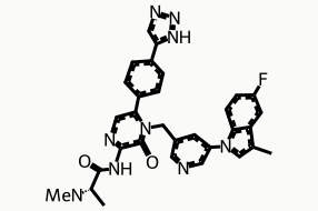 CN[C@@H](C)C(=O)Nc1ncc(-c2ccc(-c3cnn[nH]3)cc2)n(Cc2cncc(-n3cc(C)c4cc(F)ccc43)c2)c1=O